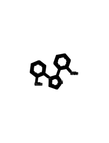 COc1ccccc1-c1nccn1-c1ccccc1OC